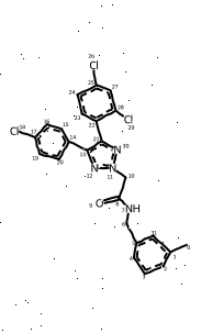 Cc1cccc(CNC(=O)Cn2nc(-c3ccc(Cl)cc3)c(-c3ccc(Cl)cc3Cl)n2)c1